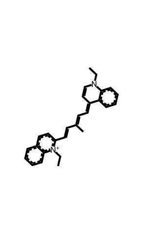 CCN1C=C\C(=C/C=C(C)/C=C/c2ccc3ccccc3[n+]2CC)c2ccccc21